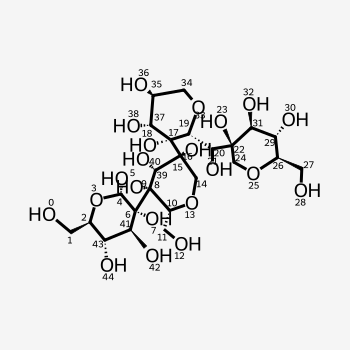 OC[C@H]1O[C@H](O)[C@@](O)([C@]2(O)[C@@H](CO)OC[C@@](O)([C@]3(O)[C@@H](C(O)[C@@]4(O)CO[C@H](CO)[C@@H](O)[C@@H]4O)OC[C@H](O)[C@H]3O)[C@H]2O)[C@@H](O)[C@@H]1O